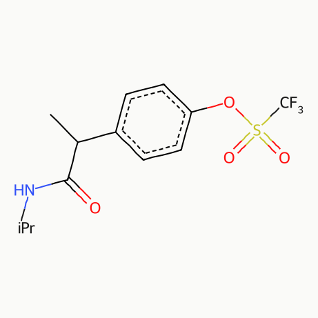 CC(C)NC(=O)C(C)c1ccc(OS(=O)(=O)C(F)(F)F)cc1